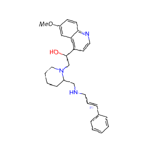 COc1ccc2nccc(C(O)CN3CCCCC3CNC/C=C/c3ccccc3)c2c1